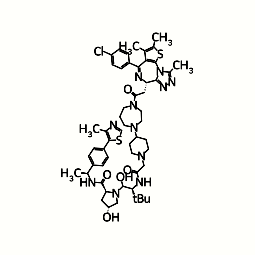 Cc1ncsc1-c1ccc([C@H](C)NC(=O)[C@@H]2C[C@@H](O)CN2C(O)[C@@H](NC(=O)CN2CCC(N3CCCN(C(=O)C[C@@H]4N=C(c5ccc(Cl)cc5)c5c(sc(C)c5C)-n5c(C)nnc54)CC3)CC2)C(C)(C)C)cc1